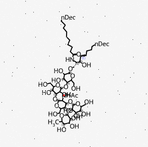 CCCCCCCCCCCCC/C=C/[C@@H](O)[C@H](CO[C@@H]1OC(CO)[C@@H](O[C@@H]2OC(CO)[C@H](O)[C@H](O[C@@H]3OC(CO)[C@@H](O[C@H]4OC(C)[C@@H](O)C(O)[C@@H]4O)[C@H](O[C@@H]4OC(CO)[C@H](O)[C@H](O)C4O)C3NC(C)=O)C2O)[C@H](O)C1O)NC(=O)CCCCCCCCCCCCCCCCCCC